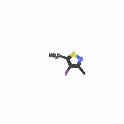 Cc1nsc(C(=O)O)c1I